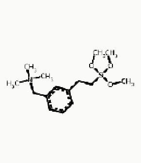 CO[Si](CCc1cccc(C[N+](C)(C)C)c1)(OC)OC